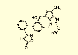 CCCOc1nc2c(C)sc(C(=O)O)c2n1Cc1ccc(-c2ccccc2-c2noc(=O)[nH]2)cc1